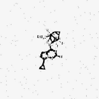 CCOC(=O)[C@H]1[C@H](Nc2nc(Cl)nn3c(C4CC4)ccc23)[C@@H]2CC[C@H]1C1CC12